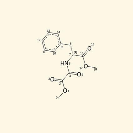 COC(=O)C(=O)N[C@H](Cc1ccccc1)C(=O)OC